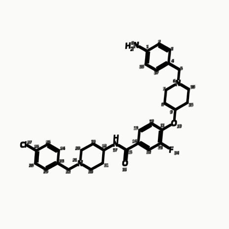 Nc1ccc(CN2CCC(Oc3ccc(C(=O)NC4CCN(Cc5ccc(Cl)cc5)CC4)cc3F)CC2)cc1